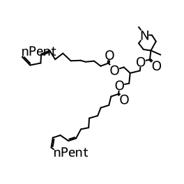 CCCCC/C=C\C/C=C\CCCCCCCC(=O)OCC(COC(=O)CCCCCCC/C=C\C/C=C\CCCCC)COC(=O)C1(C)CCN(C)CC1